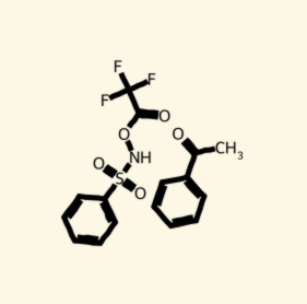 CC(=O)c1ccccc1.O=C(ONS(=O)(=O)c1ccccc1)C(F)(F)F